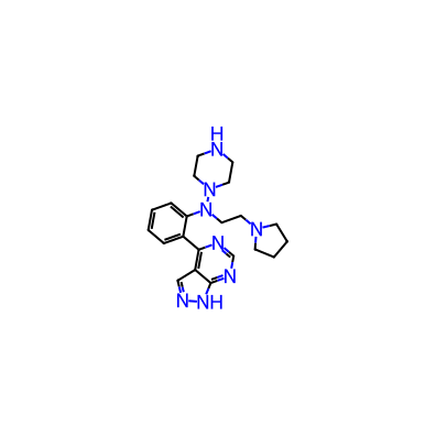 c1ccc(N(CCN2CCCC2)N2CCNCC2)c(-c2ncnc3[nH]ncc23)c1